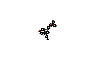 CC(C)c1ccc(N2c3cccc4c3B(c3c(sc5ccc(C(C)C)cc35)N4c3ccc(-c4ccc5c6ccccc6c6ccccc6c5c4)cc3)c3c2sc2ccc(C(C)C)cc32)cc1